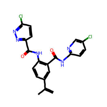 C=C(C)c1ccc(NC(=O)c2ccc(Cl)nn2)c(C(=O)Nc2ccc(Cl)cn2)c1